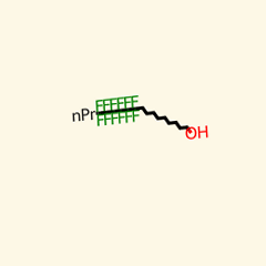 CCCC(F)(F)C(F)(F)C(F)(F)C(F)(F)C(F)(F)C(F)(F)CCCCCCCCCO